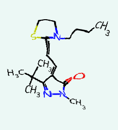 CCCCN1CCS/C1=C/C=C1/C(=O)N(C)N=C1C(C)(C)C